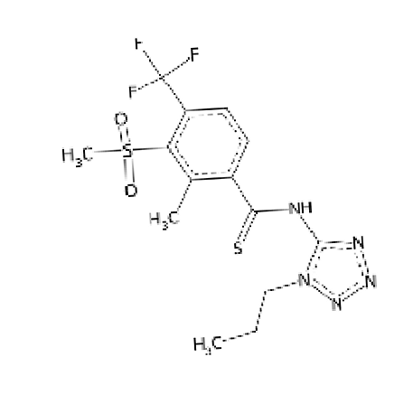 CCCn1nnnc1NC(=S)c1ccc(C(F)(F)F)c(S(C)(=O)=O)c1C